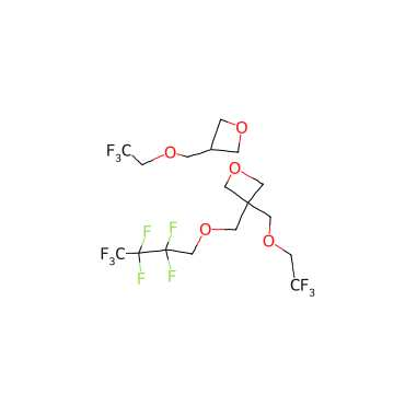 FC(F)(F)COCC1(COCC(F)(F)C(F)(F)C(F)(F)F)COC1.FC(F)(F)COCC1COC1